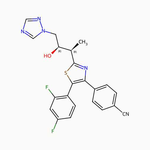 C[C@@H](c1nc(-c2ccc(C#N)cc2)c(-c2ccc(F)cc2F)s1)[C@@H](O)Cn1cncn1